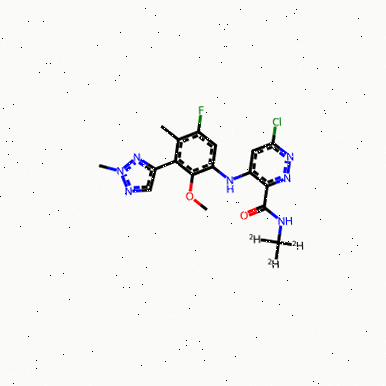 [2H]C([2H])([2H])NC(=O)c1nnc(Cl)cc1Nc1cc(F)c(C)c(-c2cnn(C)n2)c1OC